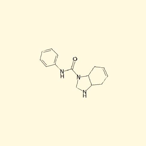 O=C(Nc1ccccc1)N1CNC2CC=CCC21